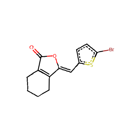 O=C1OC(=Cc2ccc(Br)s2)C2=C1CCCC2